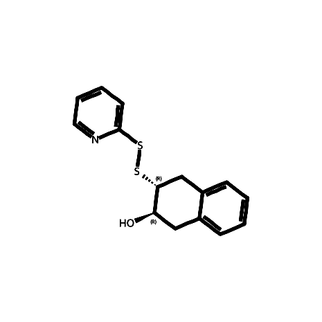 O[C@@H]1Cc2ccccc2C[C@H]1SSc1ccccn1